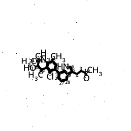 CC(=O)CCc1c[nH]c2c(-c3cc(C)c4c(c3Cl)[C@@H](C)[C@H](O)C(C)(C)N4)cccc12